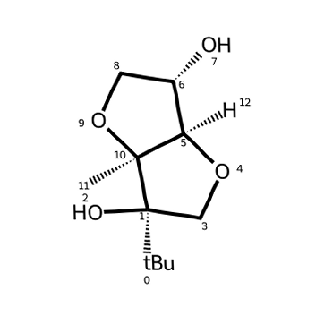 CC(C)(C)[C@@]1(O)CO[C@@H]2[C@@H](O)CO[C@@]21C